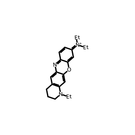 CCN1CCCc2cc3nc4ccc(=[N+](CC)CC)cc-4oc3cc21